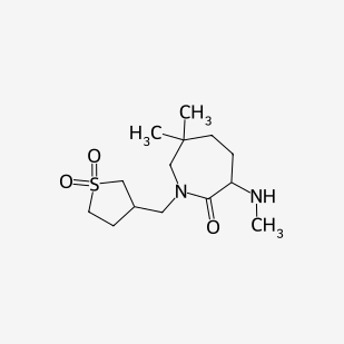 CNC1CCC(C)(C)CN(CC2CCS(=O)(=O)C2)C1=O